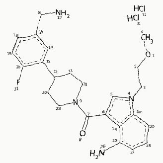 COCCn1cc(C(=O)N2CCC(c3cc(CN)ccc3F)CC2)c2c(N)cccc21.Cl.Cl